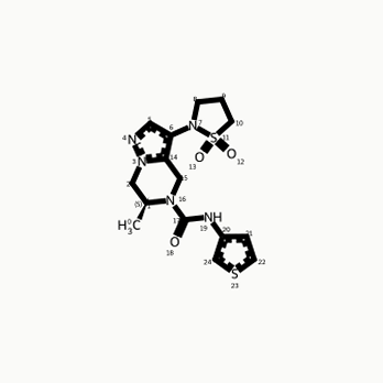 C[C@H]1Cn2ncc(N3CCCS3(=O)=O)c2CN1C(=O)Nc1ccsc1